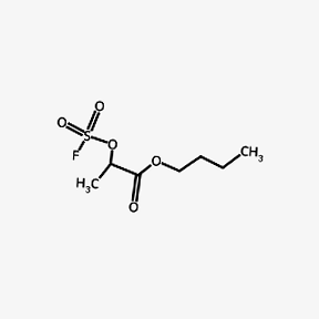 CCCCOC(=O)C(C)OS(=O)(=O)F